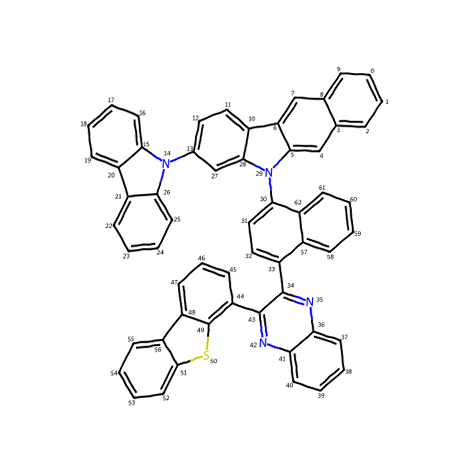 c1ccc2cc3c(cc2c1)c1ccc(-n2c4ccccc4c4ccccc42)cc1n3-c1ccc(-c2nc3ccccc3nc2-c2cccc3c2sc2ccccc23)c2ccccc12